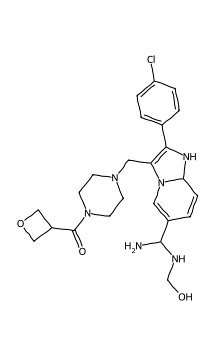 NC(NCO)C1=CN2C(CN3CCN(C(=O)C4COC4)CC3)=C(c3ccc(Cl)cc3)NC2C=C1